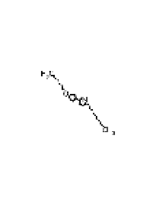 CCCCCCCCCCc1ccc(-c2ccc(OCCCCCCCC)cc2)cn1